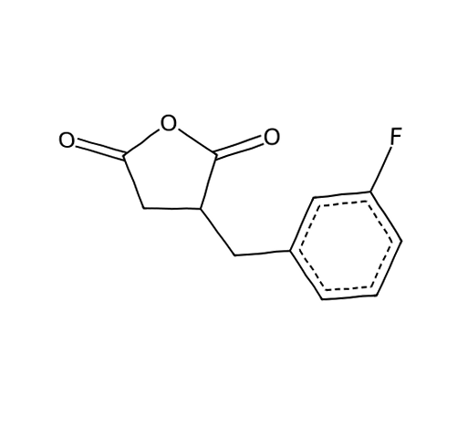 O=C1CC(Cc2cccc(F)c2)C(=O)O1